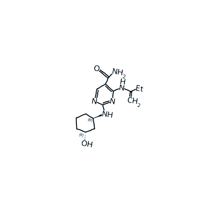 C=C(CC)Nc1nc(N[C@@H]2CCC[C@@H](O)C2)ncc1C(N)=O